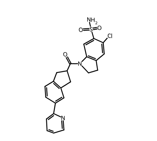 NS(=O)(=O)c1cc2c(cc1Cl)CCN2C(=O)C1Cc2ccc(-c3ccccn3)cc2C1